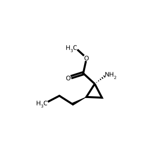 CCC[C@@H]1C[C@]1(N)C(=O)OC